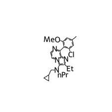 CCCN(CC1CC1)c1c(CC)nc2c(-c3c(Cl)cc(C)cc3OC)nccn12